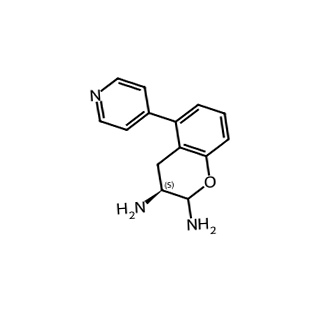 NC1Oc2cccc(-c3ccncc3)c2C[C@@H]1N